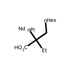 CCCCCCCC(CC)(CCC)C(=O)O.[Nd]